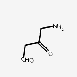 NCC(=O)CC=O